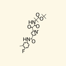 Cc1cc(NC(=O)c2cc(C(=O)C(=O)NC(C)(C)C(=O)OC(C)(C)C)n(C)c2)ccc1F